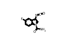 NC(=O)n1cc(N=C=O)c2cc(F)ccc21